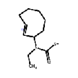 CCN(C(=O)S)C1/C=C/CCCCC1